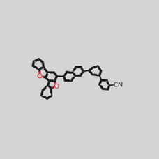 N#Cc1cccc(-c2cccc(-c3ccc4cc(-c5cc6c7ccccc7oc6c6c5oc5ccccc56)ccc4c3)c2)c1